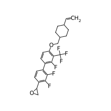 C=CC1CCC(COc2ccc(-c3ccc(C4CO4)c(F)c3F)c(F)c2C(F)(F)F)CC1